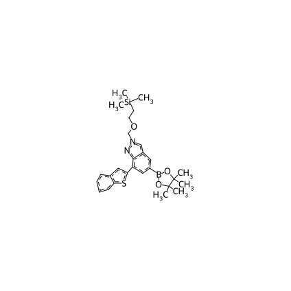 CC1(C)OB(c2cc(-c3cc4ccccc4s3)c3nn(COCC[Si](C)(C)C)cc3c2)OC1(C)C